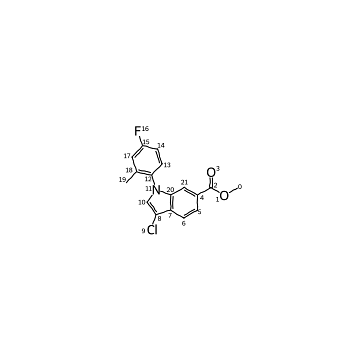 COC(=O)c1ccc2c(Cl)cn(-c3ccc(F)cc3C)c2c1